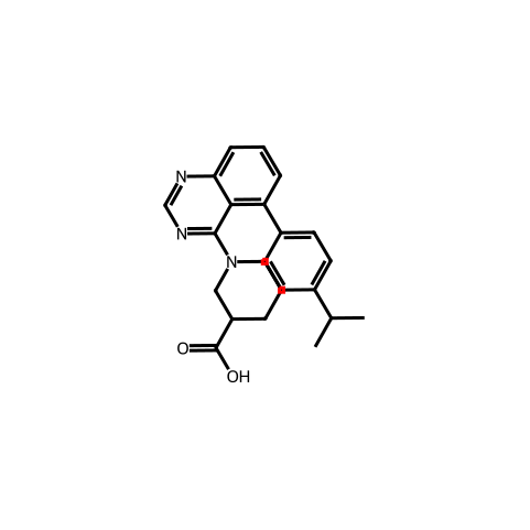 CC(C)c1ccc(-c2cccc3ncnc(N4CCCC(C(=O)O)C4)c23)cc1